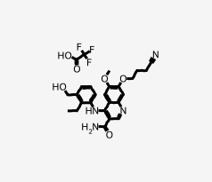 CCc1c(CO)cccc1Nc1c(C(N)=O)cnc2cc(OCCCC#N)c(OC)cc12.O=C(O)C(F)(F)F